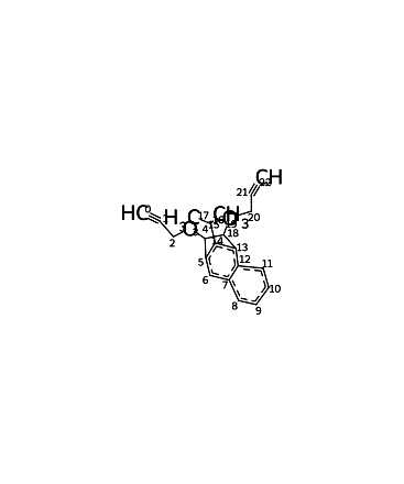 C#CCOC1c2cc3ccccc3c(c2C(C)C)C1OCC#C